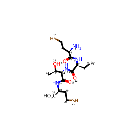 CC(C)C[C@H](NC(=O)[C@H](N)CCS)C(=O)N[C@H](C(=O)N[C@@H](CCS)C(=O)O)[C@@H](C)O